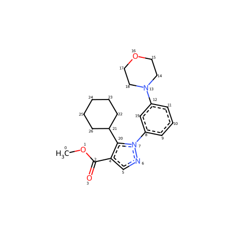 COC(=O)c1cnn(-c2cccc(N3CCOCC3)c2)c1C1CCCCC1